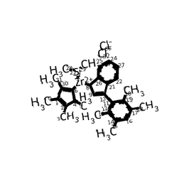 CC1=C(C)C(C)[C]([Zr+2]([CH]2C=C(c3c(C)c(C)cc(C)c3C)c3ccccc32)=[Si](C)C)=C1C.[Cl-].[Cl-]